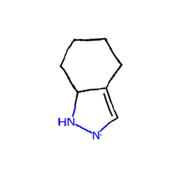 C1=C2CCCCC2N[N]1